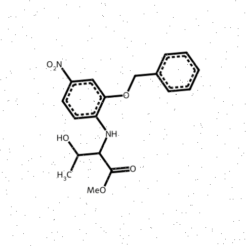 COC(=O)C(Nc1ccc([N+](=O)[O-])cc1OCc1ccccc1)C(C)O